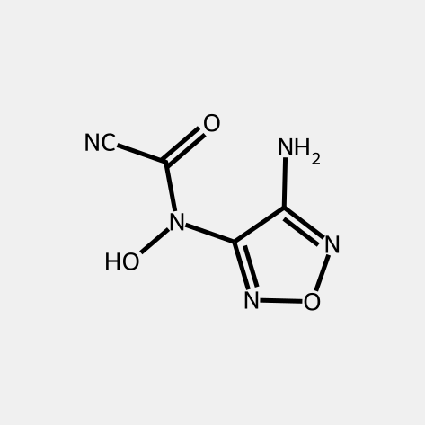 N#CC(=O)N(O)c1nonc1N